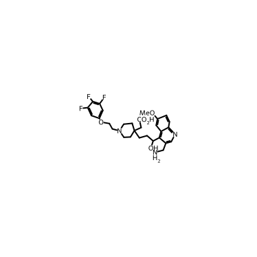 COc1ccc2ncc(CN)c(C(O)CCC3(CC(=O)O)CCN(CCOc4cc(F)c(F)c(F)c4)CC3)c2c1